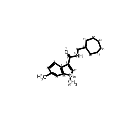 Cc1ccc2c(C(=O)NCC3CCCCCC3)cn(C)c2c1